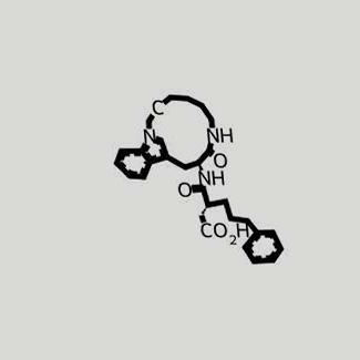 O=C(O)C[C@@H](CCCc1ccccc1)C(=O)N[C@H]1Cc2cn(c3ccccc23)CCCCCCNC1=O